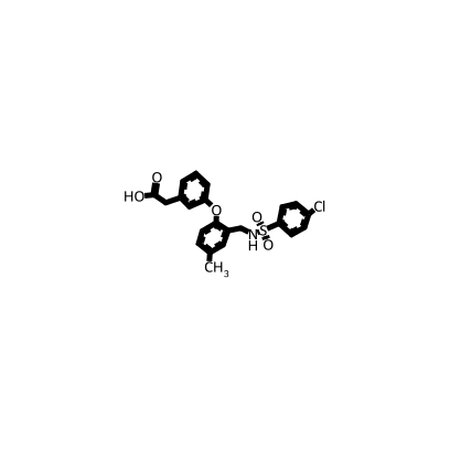 Cc1ccc(Oc2cccc(CC(=O)O)c2)c(CNS(=O)(=O)c2ccc(Cl)cc2)c1